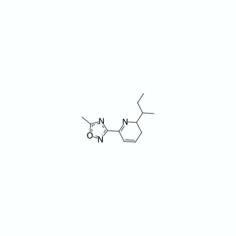 CCC(C)C1CC=CC(c2noc(C)n2)=N1